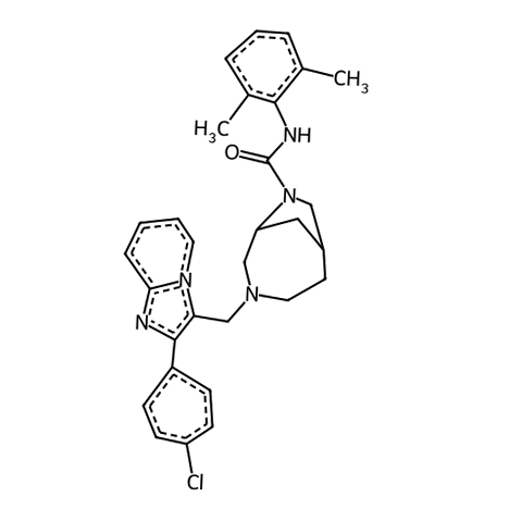 Cc1cccc(C)c1NC(=O)N1CC2CCN(Cc3c(-c4ccc(Cl)cc4)nc4ccccn34)CC1C2